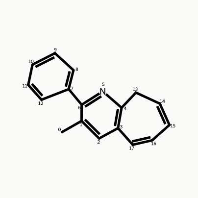 Cc1cc2c(nc1-c1ccccc1)CC=CC=C2